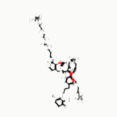 Cc1c(CN(C(=O)C2=C(c3ccc(CCCOc4c(F)ccc(F)c4Cl)cc3)CC3CS(=O)(=O)CC2N3C(=O)OCCOCCON(O)O)C2CC2)ccnc1OCCCOC(=O)OCCOCCON(O)O